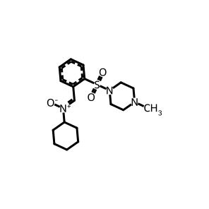 CN1CCN(S(=O)(=O)c2ccccc2C=[N+]([O-])C2CCCCC2)CC1